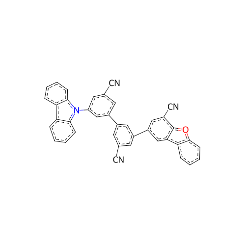 N#Cc1cc(-c2cc(C#N)cc(-n3c4ccccc4c4ccccc43)c2)cc(-c2cc(C#N)c3oc4ccccc4c3c2)c1